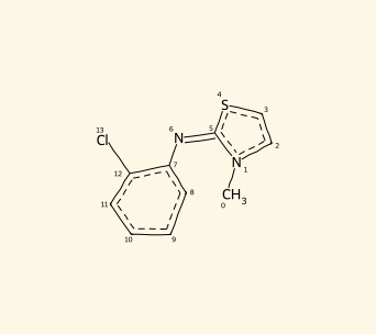 Cn1ccsc1=Nc1ccccc1Cl